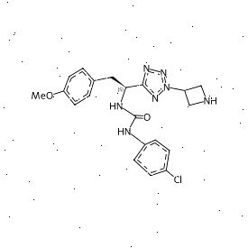 COc1ccc(C[C@H](NC(=O)Nc2ccc(Cl)cc2)c2nnn(C3CNC3)n2)cc1